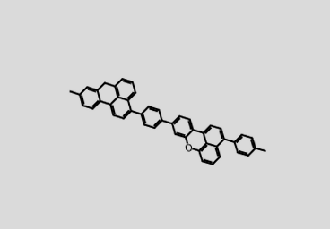 Cc1ccc(-c2ccc3c4c(cccc24)Oc2cc(-c4ccc(-c5ccc6c7c(cccc57)Cc5cc(C)ccc5-6)cc4)ccc2-3)cc1